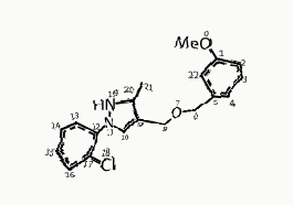 COc1cccc(COCC2=CN(c3ccccc3Cl)NC2C)c1